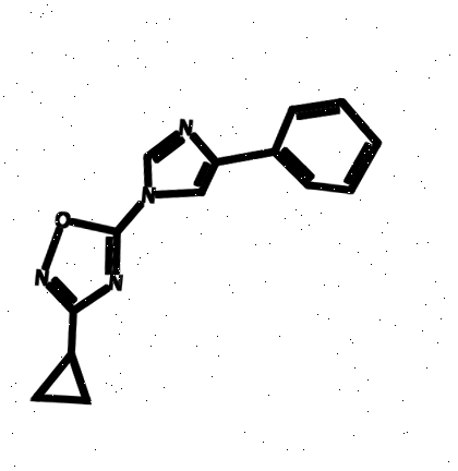 c1ccc(-c2cn(-c3nc(C4CC4)no3)cn2)cc1